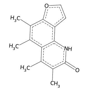 Cc1c(C)c2c(C)c(C)c3occc3c2[nH]c1=O